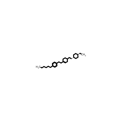 CCCCCCc1ccc(CCC2=CCC(CC[C@H]3CC[C@H](CC)CC3)CC2)cc1